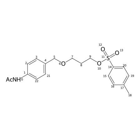 CC(=O)Nc1ccc(COCCCOS(=O)(=O)c2ccc(C)cc2)cc1